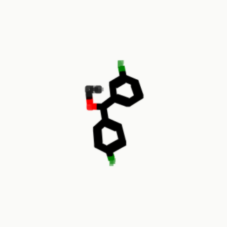 O=[C]OC(c1ccc(F)cc1)c1cccc(F)c1